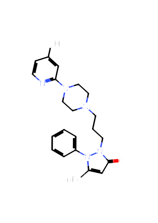 CCCc1cc(=O)n(CCCN2CCN(c3cc(C)ccn3)CC2)n1-c1ccccc1